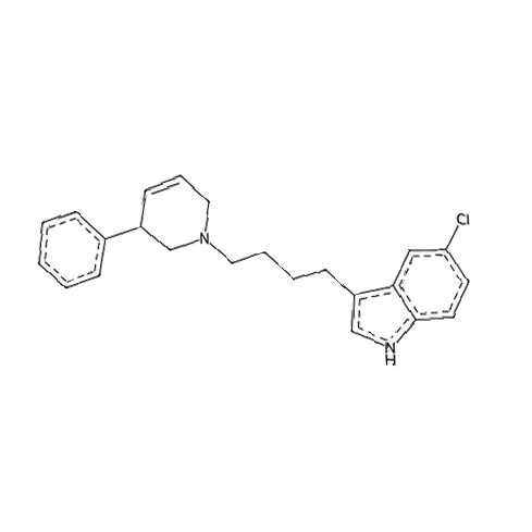 Clc1ccc2[nH]cc(CCCCN3CC=CC(c4ccccc4)C3)c2c1